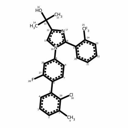 Cc1cccc(-c2ccc(-n3cc(C(C)(C)O)nc3-c3ccccc3C(F)(F)F)cc2F)c1Cl